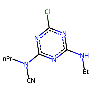 CCCN(C#N)c1nc(Cl)nc(NCC)n1